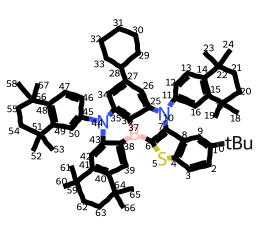 CC(C)(C)c1ccc2sc3c(c2c1)N(c1ccc2c(c1)C(C)(C)CCC2(C)C)c1cc(C2CCCCC2)cc2c1B3c1cc3c(cc1N2c1ccc2c(c1)C(C)(C)CCC2(C)C)C(C)(C)CCC3(C)C